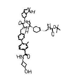 Cc1cc(C(=O)NC2CC(O)C2)ccc1-c1ccc(C[C@H](NC(=O)[C@H]2CC[C@H](CNC(=O)OC(C)(C)C)CC2)C(=O)Nc2ccc3cn[nH]c3c2)cc1